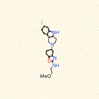 COCCNc1nc2cc(N3CCc4[nH]c5cc(F)ccc5c4C3)ccc2o1